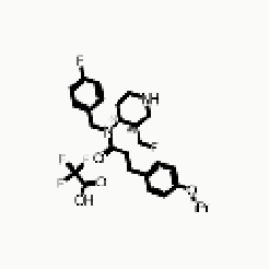 CC(C)Oc1ccc(CCC(=O)N(Cc2ccc(F)cc2)[C@H]2CCNC[C@H]2CF)cc1.O=C(O)C(F)(F)F